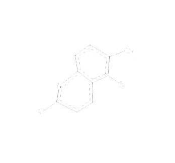 Cc1ccc2nc(Cl)ccc2c1Br